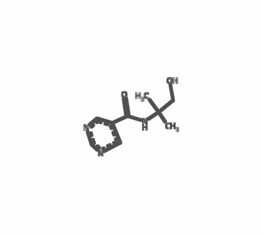 CC(C)(CO)NC(=O)c1cncnc1